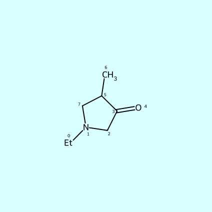 CCN1CC(=O)C(C)C1